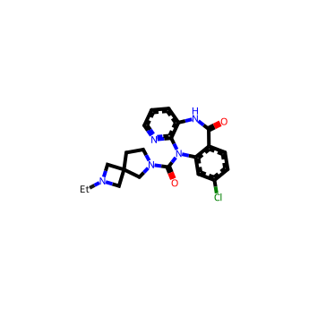 CCN1CC2(CCN(C(=O)N3c4cc(Cl)ccc4C(=O)Nc4cccnc43)C2)C1